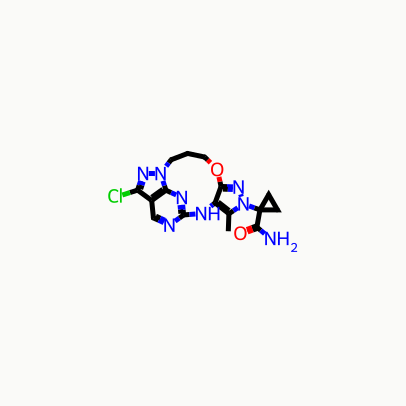 Cc1c2c(nn1C1(C(N)=O)CC1)OCCCn1nc(Cl)c3cnc(nc31)N2